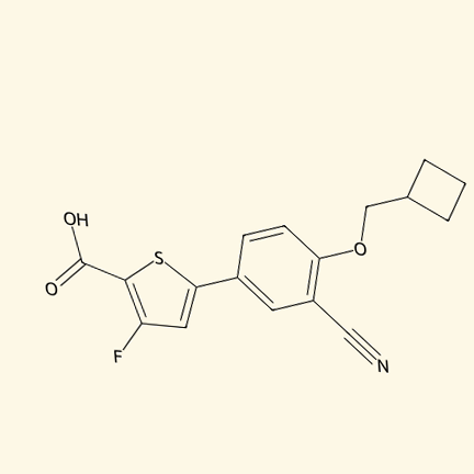 N#Cc1cc(-c2cc(F)c(C(=O)O)s2)ccc1OCC1CCC1